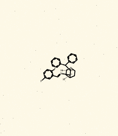 Fc1ccc(F)c(C=N[C@@H]2C3CCN(CC3)[C@@H]2C(c2ccccc2)c2ccccc2)c1